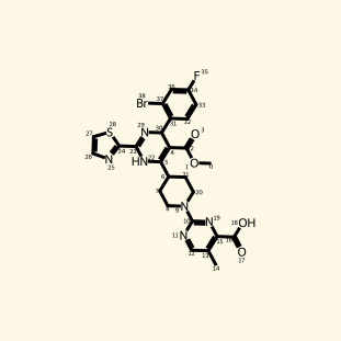 COC(=O)C1=C(C2CCN(c3ncc(C)c(C(=O)O)n3)CC2)NC(c2nccs2)=NC1c1ccc(F)cc1Br